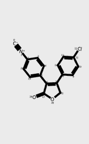 [C-]#[N+]c1ccc(C2=C(c3ccc(Cl)cc3)COC2=O)cc1